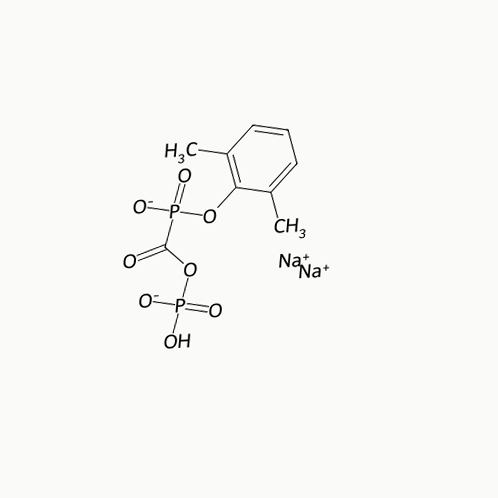 Cc1cccc(C)c1OP(=O)([O-])C(=O)OP(=O)([O-])O.[Na+].[Na+]